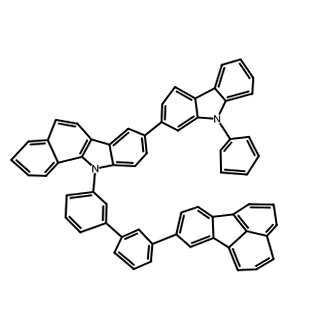 c1ccc(-n2c3ccccc3c3ccc(-c4ccc5c(c4)c4ccc6ccccc6c4n5-c4cccc(-c5cccc(-c6ccc7c(c6)-c6cccc8cccc-7c68)c5)c4)cc32)cc1